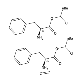 C=O.CCCCC(Cl)OC(=O)[C@@H](N)Cc1ccccc1.CCCCC(Cl)OC(=O)[C@@H](N)Cc1ccccc1